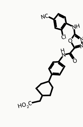 N#Cc1ccc(Nc2nnc(C(=O)Nc3ccc(C4CCC(CC(=O)O)CC4)cc3)o2)c(Cl)c1